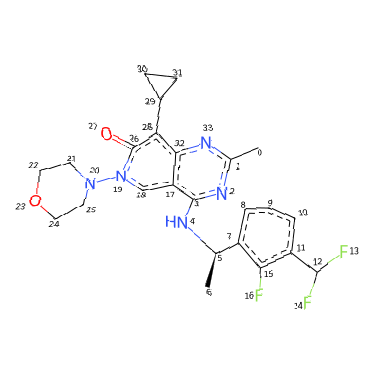 Cc1nc(N[C@H](C)c2cccc(C(F)F)c2F)c2cn(N3CCOCC3)c(=O)c(C3CC3)c2n1